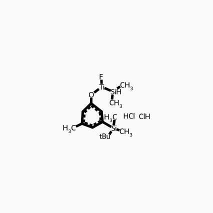 Cc1cc([O][Ti]([F])[SiH](C)C)cc([Si](C)(C)C(C)(C)C)c1.Cl.Cl